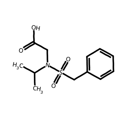 CC(C)N(CC(=O)O)S(=O)(=O)Cc1ccccc1